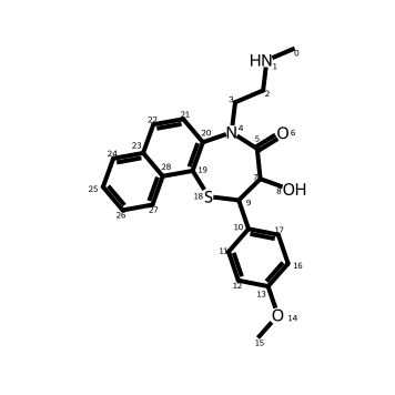 CNCCN1C(=O)C(O)C(c2ccc(OC)cc2)Sc2c1ccc1ccccc21